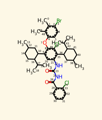 Cc1c(Br)ccc(Oc2c(C3CC(C)CCC3C(C)C)cc(NC(=O)NC(=O)c3ccccc3Cl)c(C3CC(C)CCC3C(C)C)c2Cl)c1C